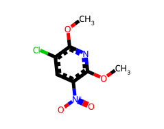 COc1nc(OC)c([N+](=O)[O-])cc1Cl